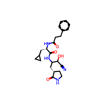 N#CC(O)C(C[C@@H]1CCNC1=O)NC(=O)[C@H](CC1CC1)NC(=O)CCc1ccccc1